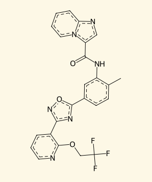 Cc1ccc(-c2nc(-c3cccnc3OCC(F)(F)F)no2)cc1NC(=O)c1cnc2ccccn12